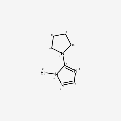 CCn1ncnc1N1CCCC1